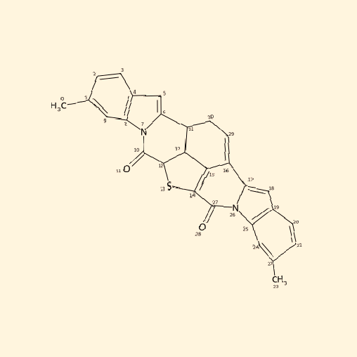 Cc1ccc2cc3n(c2c1)C(=O)C1Sc2c4c(c5cc6ccc(C)cc6n5c2=O)=CCC3C41